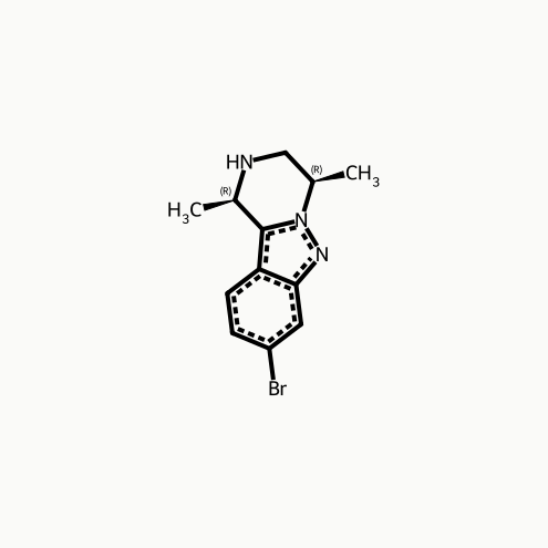 C[C@@H]1CN[C@H](C)c2c3ccc(Br)cc3nn21